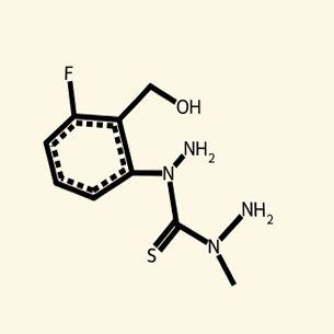 CN(N)C(=S)N(N)c1cccc(F)c1CO